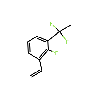 C=Cc1cccc(C(C)(F)F)c1F